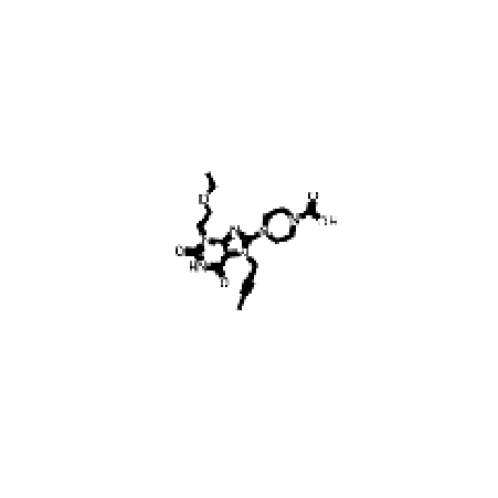 CC#CCn1c(N2CCN(C(=O)O)CC2)nc2c1c(=O)[nH]c(=O)n2CCOCC